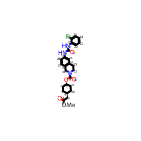 COC(=O)C[C@H]1CC[C@H](OC(=O)N2CCc3cc(NC(=O)Nc4ccccc4F)ccc3C2)CC1